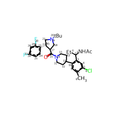 CCC(NC(C)=O)c1cc(Cl)c(C)cc1C1CCN(C(=O)C2CN(C(C)(C)C)C[C@H]2c2ccc(F)cc2F)CC1